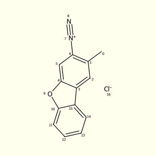 Cc1cc2c(cc1[N+]#N)oc1ccccc12.[Cl-]